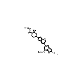 COc1cc(-c2cnc3cc(C4CCN(C(=O)OC(C)(C)C)C5(CC5)C4)sc3c2)nn2cc(C)nc12